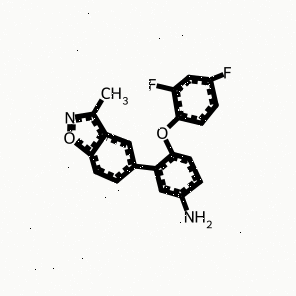 Cc1noc2ccc(-c3cc(N)ccc3Oc3ccc(F)cc3F)cc12